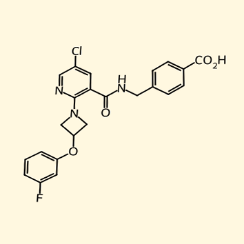 O=C(O)c1ccc(CNC(=O)c2cc(Cl)cnc2N2CC(Oc3cccc(F)c3)C2)cc1